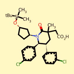 CC1(CC(=O)O)C[C@H](c2cccc(Cl)c2)[C@@H](c2ccc(Cl)cc2)N([C@H]2CC[C@H](O[Si](C)(C)C(C)(C)C)C2)C1=O